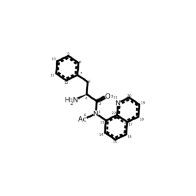 CC(=O)N(C(=O)[C@@H](N)Cc1ccccc1)c1cccc2cccnc12